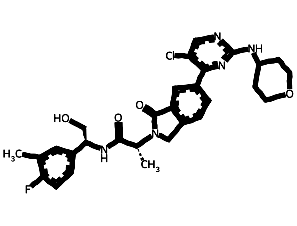 Cc1cc([C@@H](CO)NC(=O)[C@@H](C)N2Cc3ccc(-c4nc(NC5CCOCC5)ncc4Cl)cc3C2=O)ccc1F